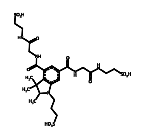 CC1N(CCCS(=O)(=O)O)c2cc(C(=O)NCC(=O)NCCS(=O)(=O)O)cc(C(=O)NCC(=O)NCCS(=O)(=O)O)c2C1(C)C